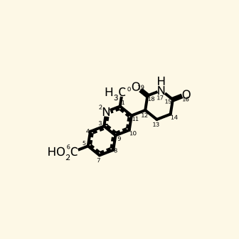 Cc1nc2cc(C(=O)O)ccc2cc1C1CCC(=O)NC1=O